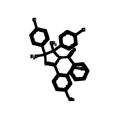 CCOc1cc(C(C)(C)C)ccc1C1=NC(C)(c2ccc(Cl)cc2)C(C)(c2ccc(Cl)cc2)N1C(=O)c1ccccc1